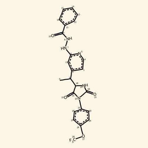 CC(c1ccnc(NNC(=O)c2ccccc2)c1)C1NC(=O)N(c2ccc(OC(F)(F)F)cc2)C1=O